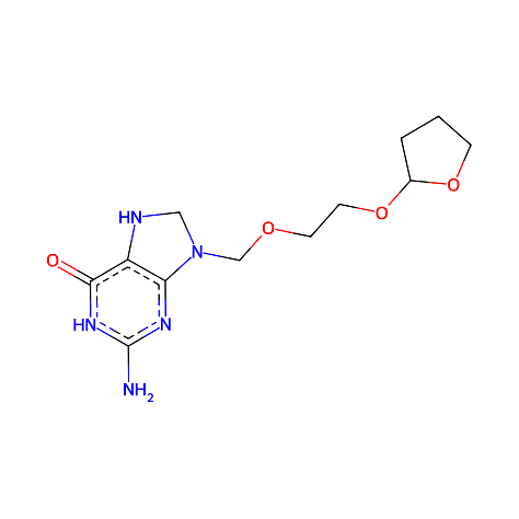 Nc1nc2c(c(=O)[nH]1)NCN2COCCOC1CCCO1